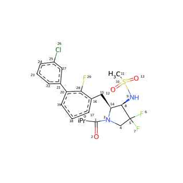 CC(C)C(=O)N1CC(F)(F)[C@H](NS(C)(=O)=O)[C@@H]1Cc1cccc(-c2cccc(Cl)c2)c1F